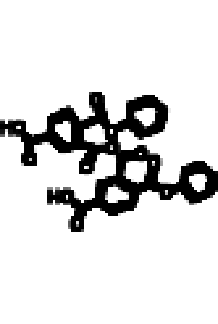 O=C(O)c1ccc(C(=O)Oc2ccccc2)c(C(=O)OC(=O)c2cc(C(=O)O)ccc2C(=O)Oc2ccccc2)c1